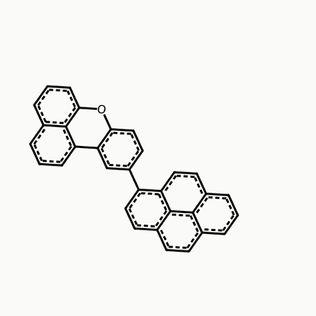 c1cc2c3c(cccc3c1)-c1cc(-c3ccc4ccc5cccc6ccc3c4c56)ccc1O2